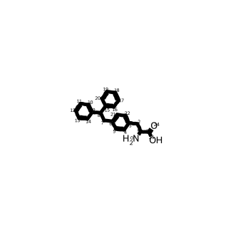 NC(Cc1ccc(CC(c2ccccc2)c2ccccc2)cc1)C(=O)O